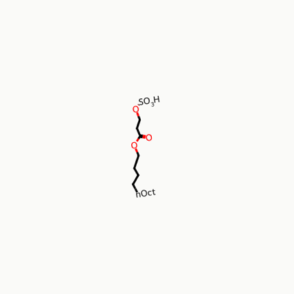 CCCCCCCCCCCCOC(=O)CCOS(=O)(=O)O